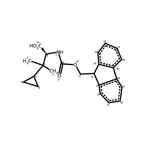 CC(C)(C1CC1)[C@H](NC(=O)OCC1c2ccccc2-c2ccccc21)C(=O)O